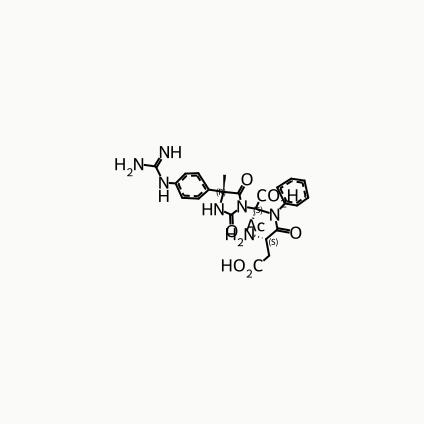 CC(=O)[C@@](C(=O)O)(N1C(=O)N[C@](C)(c2ccc(NC(=N)N)cc2)C1=O)N(C(=O)[C@@H](N)CC(=O)O)c1ccccc1